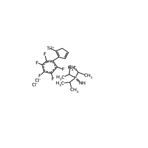 CC(C)P(=N)(C(C)C)C(C)C.Fc1c(F)c(F)c(C2=[C]([Ti+2])CC=C2)c(F)c1F.[Cl-].[Cl-]